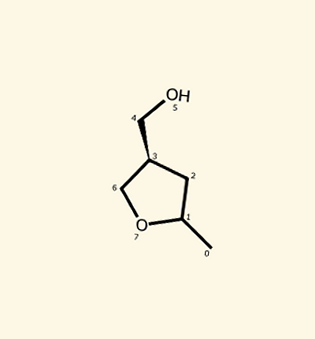 CC1C[C@H](CO)CO1